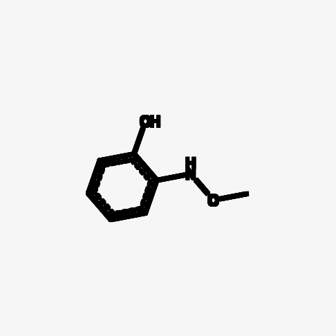 CONc1ccccc1O